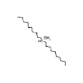 CCCCCCCCC[CH2][Hf][CH2]CCCCCCCCC.O